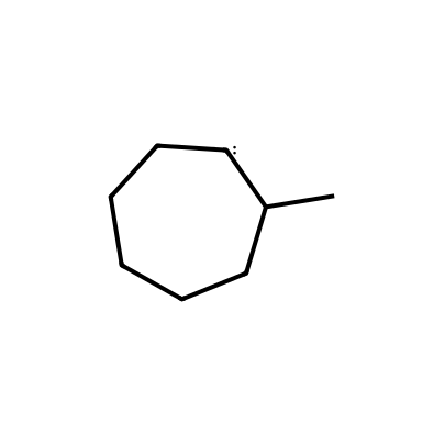 CC1[C]CCCCC1